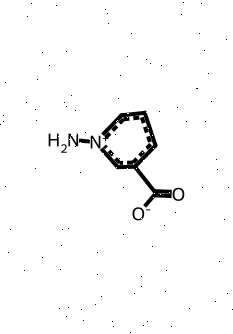 N[n+]1cccc(C(=O)[O-])c1